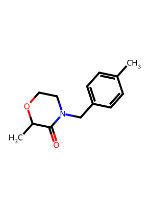 Cc1ccc(CN2CCOC(C)C2=O)cc1